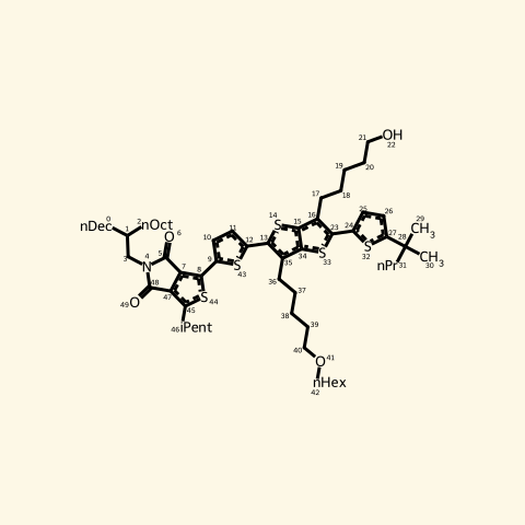 CCCCCCCCCCC(CCCCCCCC)CN1C(=O)c2c(-c3ccc(-c4sc5c(CCCCCO)c(-c6ccc(C(C)(C)CCC)s6)sc5c4CCCCCOCCCCCC)s3)sc(C(C)CCC)c2C1=O